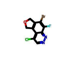 Fc1c(Br)c2c(c3c(Cl)cnnc13)COC2